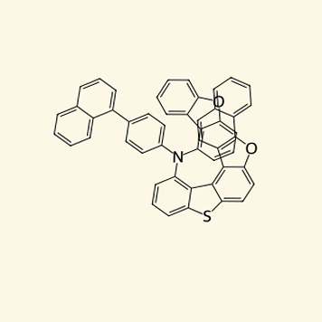 c1ccc2c(-c3ccc(N(c4cccc5oc6ccccc6c45)c4cccc5sc6ccc7oc8c9ccccc9ccc8c7c6c45)cc3)cccc2c1